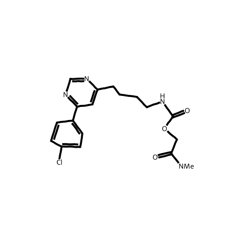 CNC(=O)COC(=O)NCCCCc1cc(-c2ccc(Cl)cc2)ncn1